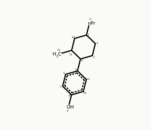 CCCC1CCC(c2ccc(O)cc2)C(C)C1